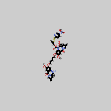 C=C1C[C@H]2CNc3cc(OCCCCCOc4cc5c(cc4OC)C(=O)N4CC(=C)C[C@H]4[C@H](O)N5C(=O)OCC(C)SSc4ccc([N+](=O)[O-])cn4)c(OC)cc3C(=O)N2C1